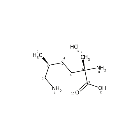 C[C@H](CN)SC[C@](C)(N)C(=O)O.Cl